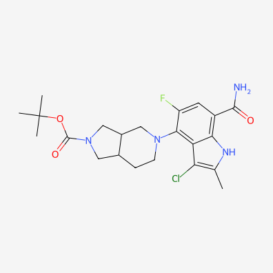 Cc1[nH]c2c(C(N)=O)cc(F)c(N3CCC4CN(C(=O)OC(C)(C)C)CC4C3)c2c1Cl